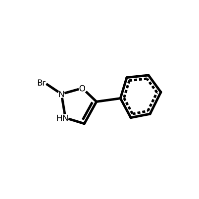 BrN1NC=C(c2ccccc2)O1